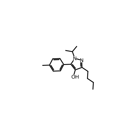 CCCCc1nn(C(C)C)c(-c2ccc(C)cc2)c1O